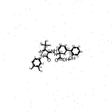 Cc1ccc(N2N=C(C(C)(C)C)C(=NNC3(C(=O)O)C=CC=C(c4ccccc4O)C3)C2=O)cc1C